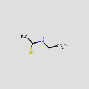 CCOC(=O)CNC(S)C(F)(F)F